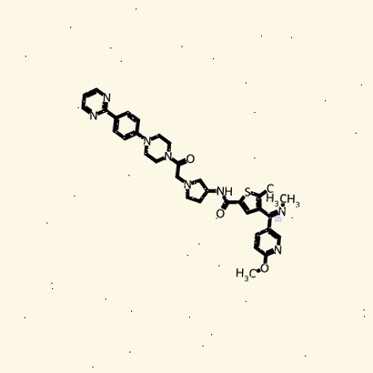 C/N=C(/c1ccc(OC)nc1)c1cc(C(=O)NC2CCN(CC(=O)N3CCN(c4ccc(-c5ncccn5)cc4)CC3)C2)sc1C